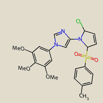 COc1cc(-n2cnc(N3C(Cl)C=CC3S(=O)(=O)c3ccc(C)cc3)c2)cc(OC)c1OC